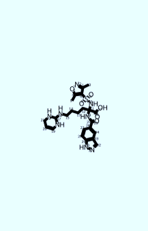 Cc1noc(C)c1S(=O)(=O)NC(CCCCNC1NC=CCN1)(NC(=O)c1ccc2[nH]ncc2c1)C(=O)O